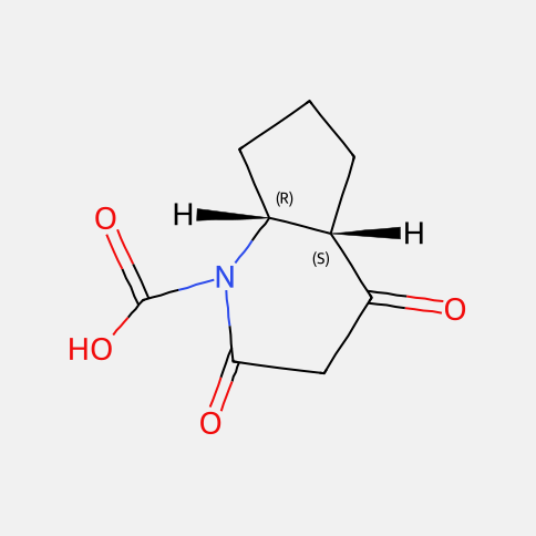 O=C1CC(=O)N(C(=O)O)[C@@H]2CCC[C@H]12